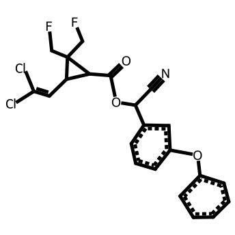 N#CC(OC(=O)C1C(C=C(Cl)Cl)C1(CF)CF)c1cccc(Oc2ccccc2)c1